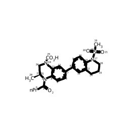 CCCC(=O)N1c2ccc(-c3ccc4c(c3)CCCN4S(C)(=O)=O)cc2N(C(=O)O)C[C@@H]1C